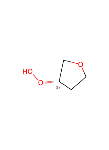 OO[C@H]1CCOC1